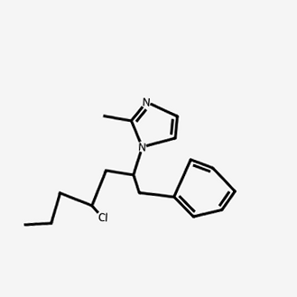 CCCC(Cl)CC(Cc1ccccc1)n1ccnc1C